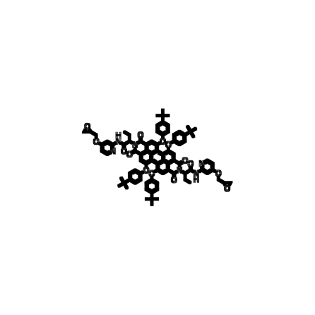 CCC(C(=O)Nc1cc(OCC2CO2)ccn1)N1C(=O)c2cc(Oc3ccc(C(C)(C)C)cc3)c3c4c(Oc5ccc(C(C)(C)C)cc5)cc5c6c(cc(Oc7ccc(C(C)(C)C)cc7)c(c7c(Oc8ccc(C(C)(C)C)cc8)cc(c2c37)C1=O)c64)C(=O)N(C(CC)C(=O)Nc1cc(OCC2CO2)ccn1)C5=O